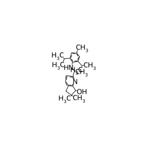 Cc1cc(C(C)C)c(NC(C)c2ccc3c(n2)C(O)C(C)(C)C3)c(C(C)C)c1